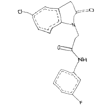 O=C(CN1C(=O)Cc2cc(Cl)ccc21)Nc1cccc(F)c1